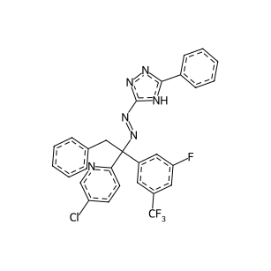 Fc1cc(C(F)(F)F)cc(C(Cc2ccccc2)(N=Nc2nnc(-c3ccccc3)[nH]2)c2ccc(Cl)cn2)c1